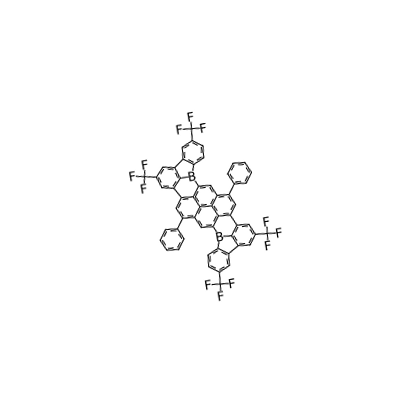 FC(F)(F)c1ccc2c(c1)-c1cc(C(F)(F)F)cc3c1B2c1cc2c(-c4ccccc4)cc4c5c(cc6c(-c7ccccc7)cc-3c1c6c25)B1c2ccc(C(F)(F)F)cc2-c2cc(C(F)(F)F)cc-4c21